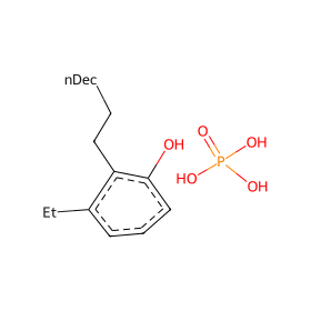 CCCCCCCCCCCCc1c(O)cccc1CC.O=P(O)(O)O